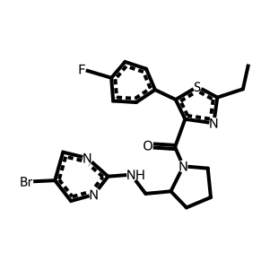 CCc1nc(C(=O)N2CCCC2CNc2ncc(Br)cn2)c(-c2ccc(F)cc2)s1